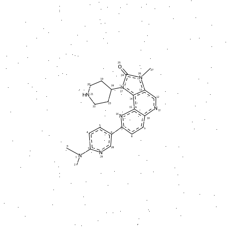 CN(C)c1ccc(-c2ccc3ncc4c(c3n2)n(C2CCNCC2)c(=O)n4C)cn1